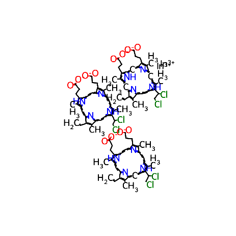 C=CC1=C(C)c2cc3[nH]c(cc4nc(cc5[nH]c(cc1n2)c(C)c5CCC(=O)[O-])C(CCC(=O)[O-])=C4C)c(C)c3C(Cl)CCl.C=CC1=C(C)c2cc3[nH]c(cc4nc(cc5[nH]c(cc1n2)c(C)c5CCC(=O)[O-])C(CCC(=O)[O-])=C4C)c(C)c3C(Cl)CCl.C=CC1=C(C)c2cc3[nH]c(cc4nc(cc5[nH]c(cc1n2)c(C)c5CCC(=O)[O-])C(CCC(=O)[O-])=C4C)c(C)c3C(Cl)CCl.[In+3].[In+3]